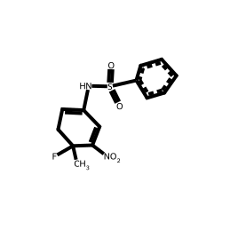 CC1(F)CC=C(NS(=O)(=O)c2ccccc2)C=C1[N+](=O)[O-]